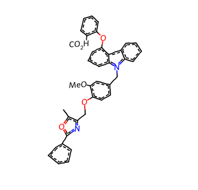 COc1cc(Cn2c3ccccc3c3c(Oc4ccccc4C(=O)O)cccc32)ccc1OCc1nc(-c2ccccc2)oc1C